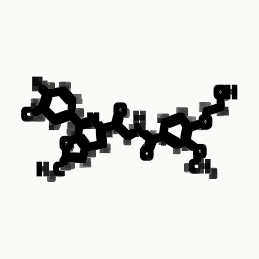 COc1cc(C(=O)NCC(=O)c2cc3cc(C)oc3c(-c3ccc(F)c(Cl)c3)n2)ccc1OCCO